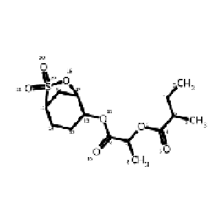 CCC(C)C(=O)OC(C)C(=O)OC1CCC2CC1OS2(=O)=O